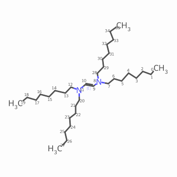 CCCCCCCCN(/C=C/N(CCCCCCCC)CCCCCCCC)CCCCCCCC